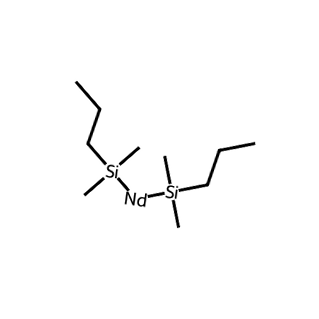 CCC[Si](C)(C)[Nd][Si](C)(C)CCC